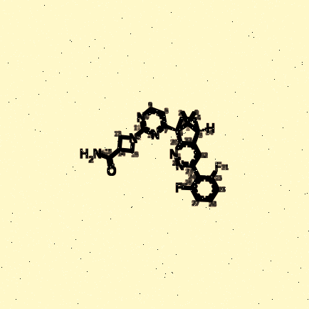 CC1(C)[C@H]2CC[C@@]1(c1ccnc(N3CC(C(N)=O)C3)n1)c1nnc(-c3c(F)cccc3F)cc12